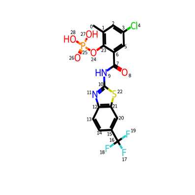 Cc1cc(Cl)cc(C(=O)Nc2nc3ccc(C(F)(F)F)cc3s2)c1OP(=O)(O)O